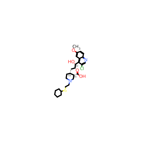 COc1ccc2ncc(Cl)c([C@@H](O)CC[C@H]3CCN(CCSC4CCCCC4)C[C@H]3C(=O)O)c2c1